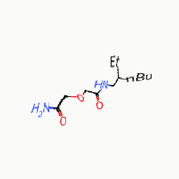 CCCCC(CC)CNC(=O)COCC(N)=O